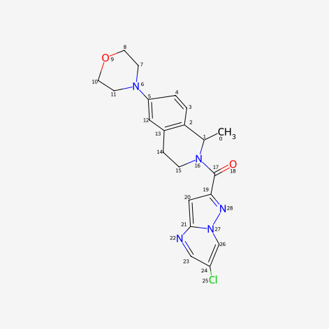 CC1c2ccc(N3CCOCC3)cc2CCN1C(=O)c1cc2ncc(Cl)cn2n1